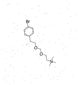 C[C@@H](COCOCC[Si](C)(C)C)c1ccc(Br)cc1